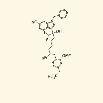 CCCC(CCCCC(O)(c1cn(Cc2ccccc2)c2cc(C#N)ccc12)C(F)F)Cc1ccc(CC(=O)O)cc1OC